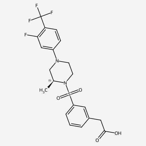 C[C@H]1CN(c2ccc(C(F)(F)F)c(F)c2)CCN1S(=O)(=O)c1cccc(CC(=O)O)c1